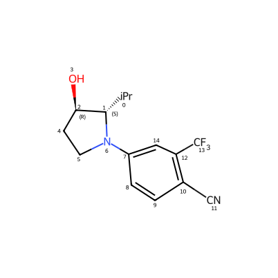 CC(C)[C@H]1[C@H](O)CCN1c1ccc(C#N)c(C(F)(F)F)c1